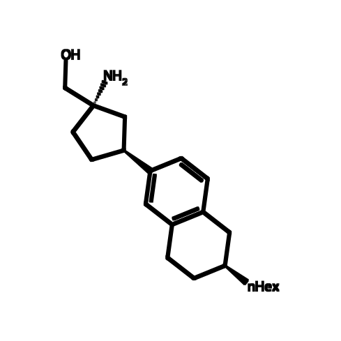 CCCCCC[C@H]1CCc2cc([C@H]3CC[C@@](N)(CO)C3)ccc2C1